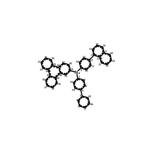 c1ccc(-c2ccc(N(c3ccc(-c4cccc5ccccc45)cc3)c3ccc4c5ccccc5c5ccccc5c4c3)cc2)cc1